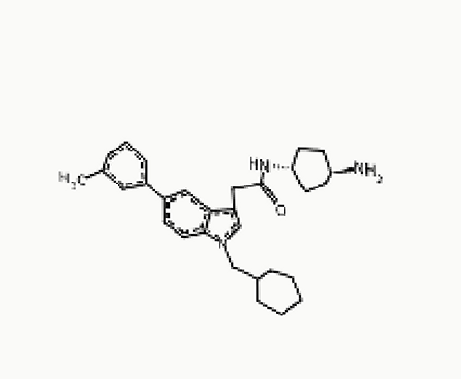 Cc1cccc(-c2ccc3c(c2)c(CC(=O)N[C@H]2CC[C@H](N)CC2)cn3CC2CCCCC2)c1